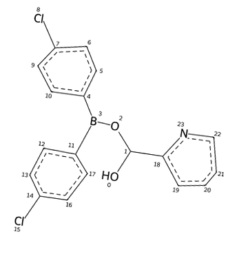 OC(OB(c1ccc(Cl)cc1)c1ccc(Cl)cc1)c1ccccn1